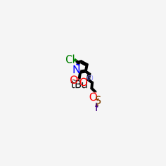 CC(C)(C)OC(=O)c1nc(Cl)ccc1/C=C/CCCOSI